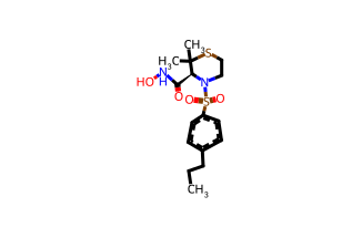 CCCc1ccc(S(=O)(=O)N2CCSC(C)(C)[C@@H]2C(=O)NO)cc1